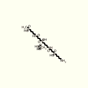 CC(=O)N(O)CCCCCNC(=O)CCC(=O)N(O)CCCCCNC(=O)CCC(=O)N(O)CCCCCN.CS(=O)(=O)O.[Mn]